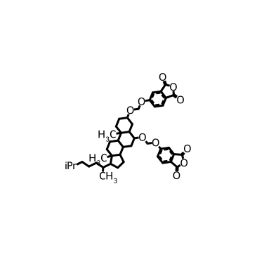 CC(C)CCCC(C)C1CCC2C3CC(OCOc4ccc5c(c4)C(=O)OC5=O)C4CC(OCOc5ccc6c(c5)C(=O)OC6=O)CCC4(C)C3CCC12C